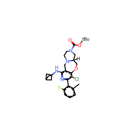 Cc1cccc(F)c1-c1nc(NC23CC(C2)C3)c2c(c1Cl)OC[C@H]1CN(C(=O)OC(C)(C)C)CCN1C2